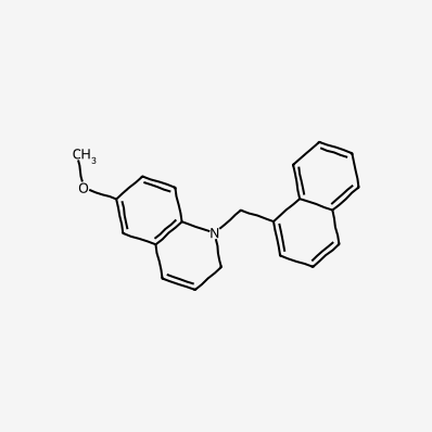 COc1ccc2c(c1)C=CCN2Cc1cccc2ccccc12